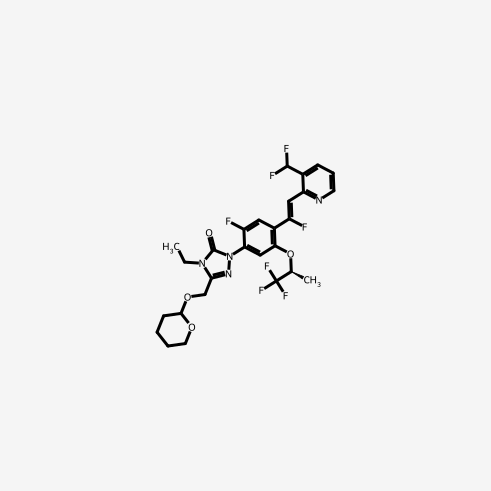 CCn1c(COC2CCCCO2)nn(-c2cc(O[C@@H](C)C(F)(F)F)c(/C(F)=C/c3ncccc3C(F)F)cc2F)c1=O